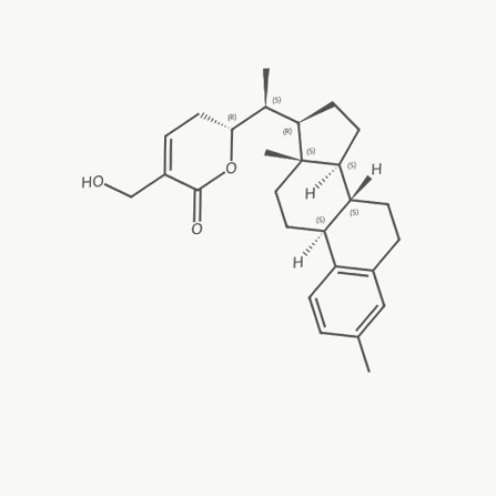 Cc1ccc2c(c1)CC[C@@H]1[C@@H]2CC[C@]2(C)[C@@H]([C@H](C)[C@H]3CC=C(CO)C(=O)O3)CC[C@@H]12